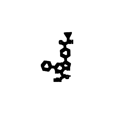 CCCC[S+]([O-])c1nc(-c2ccccc2)cn2c(-c3ccc(C(=O)NC4CC4)cc3)cnc12